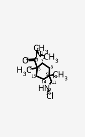 CN(C)C(=O)C1(C)CCC(C)(CNCl)CC1